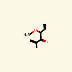 C=CC(O[SiH3])C(=O)C(=C)C